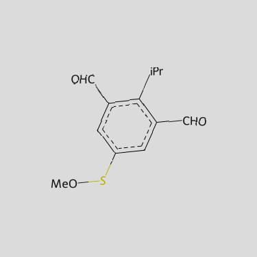 COSc1cc(C=O)c(C(C)C)c(C=O)c1